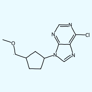 CO[CH]C1CCC(n2cnc3c(Cl)ncnc32)C1